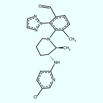 Cc1ccc(C=O)c(-n2nccn2)c1N1CCC[C@@H](Nc2ccc(Cl)cn2)[C@@H]1C